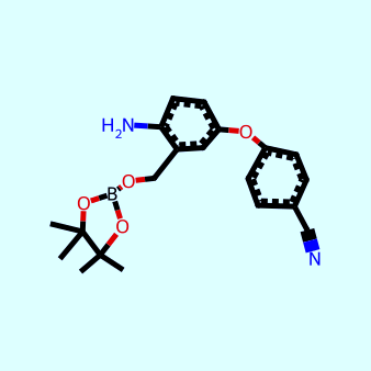 CC1(C)OB(OCc2cc(Oc3ccc(C#N)cc3)ccc2N)OC1(C)C